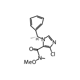 CON(C)C(=O)c1c(Cl)ncn1[C@H](C)c1ccccc1